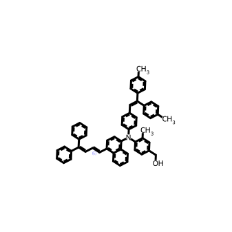 Cc1ccc(C(=Cc2ccc(N(c3ccc(CO)cc3C)c3ccc(/C=C/C=C(c4ccccc4)c4ccccc4)c4ccccc34)cc2)c2ccc(C)cc2)cc1